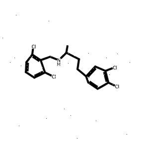 CC(CCc1ccc(Cl)c(Cl)c1)NCc1c(Cl)cccc1Cl